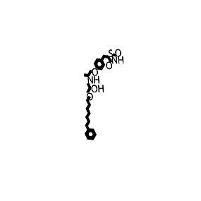 CC(COc1ccc(CC2SC(=O)NC2=O)cc1)NCC(O)COCCCCCCCc1ccccc1